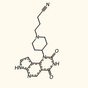 N#CCCCN1CCC(n2c(=O)[nH]c(=O)c3cnc4[nH]ccc4c32)CC1